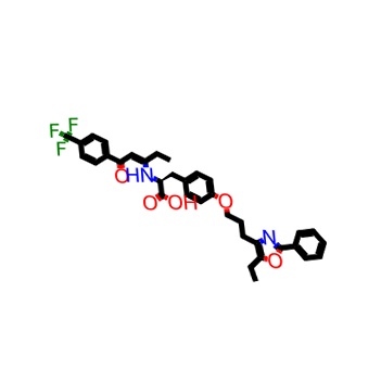 CCC(=CC(=O)c1ccc(C(F)(F)F)cc1)N[C@@H](Cc1ccc(OCCCc2nc(-c3ccccc3)oc2CC)cc1)C(=O)O